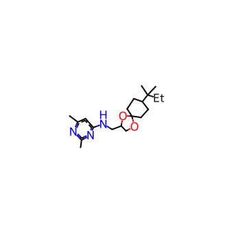 CCC(C)(C)C1CCC2(CC1)OCC(CNc1cc(C)nc(C)n1)O2